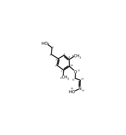 Cc1cc(CCO)cc(C)c1OC/C=N\O